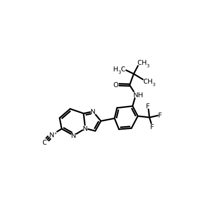 [C-]#[N+]c1ccc2nc(-c3ccc(C(F)(F)F)c(NC(=O)C(C)(C)C)c3)cn2n1